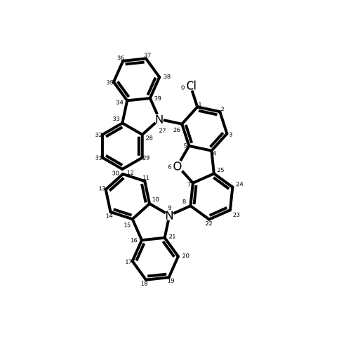 Clc1ccc2c(oc3c(-n4c5ccccc5c5ccccc54)cccc32)c1-n1c2ccccc2c2ccccc21